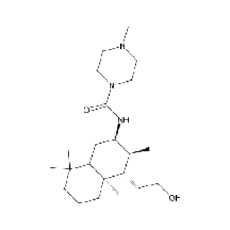 C[C@@H]1[C@H](NC(=O)N2CCN(C)CC2)CC2C(C)(C)CCC[C@]2(C)[C@H]1CCO